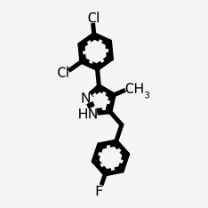 Cc1c(-c2ccc(Cl)cc2Cl)n[nH]c1Cc1ccc(F)cc1